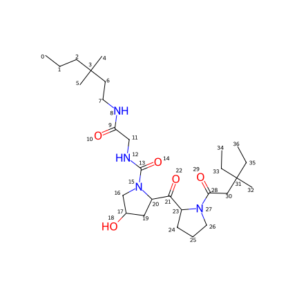 CCCC(C)(C)CCNC(=O)CNC(=O)N1CC(O)CC1C(=O)C1CCCN1C(=O)CC(C)(CC)CC